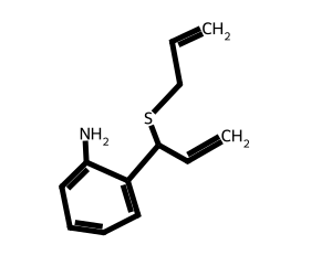 C=CCSC(C=C)c1ccccc1N